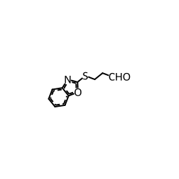 O=CCCSc1nc2ccccc2o1